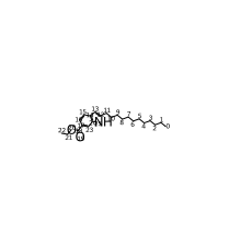 CCCCCCCCCCCCc1cc2ccc(C(=O)OCC)cc2[nH]1